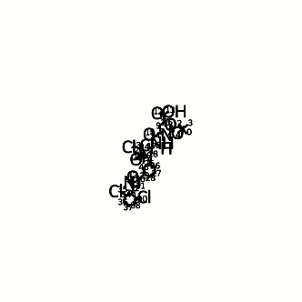 CC(C)(C)OC(=O)NC(CCC(=O)O)C(=O)NCCN(C(=O)C(Cl)Cl)c1cccc(-c2cc(-c3c(Cl)cccc3Cl)no2)c1